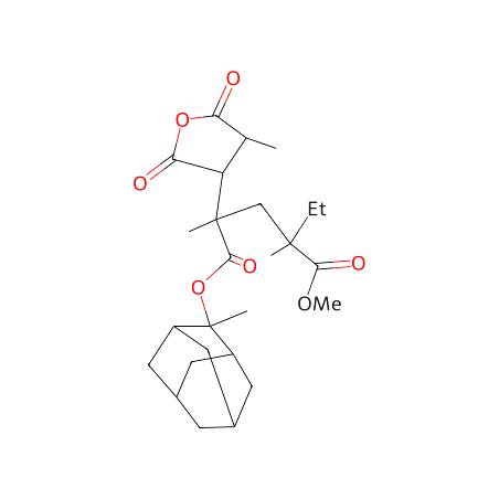 CCC(C)(CC(C)(C(=O)OC1(C)C2CC3CC(C2)CC1C3)C1C(=O)OC(=O)C1C)C(=O)OC